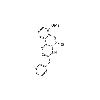 CCc1nc2c(OC)cccc2c(=O)n1NC(=O)Cc1ccccc1